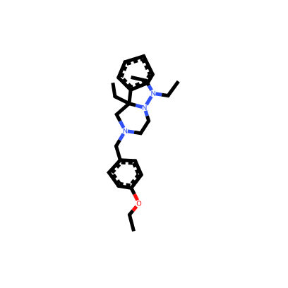 CCOc1ccc(CN2CCN(N(CC)CC)C(CC)(c3ccccc3)C2)cc1